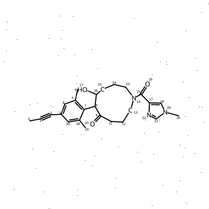 CC#Cc1cc(C)c(C2C(=O)CCCN(C(=O)c3cn(C)cn3)CCCC2O)c(C)c1